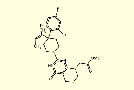 C/C=C(/C)C1(c2c(F)cc(F)cc2CC)CCN(c2nc3c(c(=O)[nH]2)CCCN3CC(=O)OC)CC1